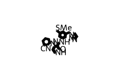 CSCc1cc(Cn2ccnn2)cc(Nc2nn(C3CCCCC3C#N)c3cc[nH]c(=O)c23)c1